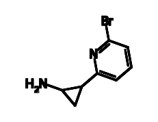 NC1CC1c1cccc(Br)n1